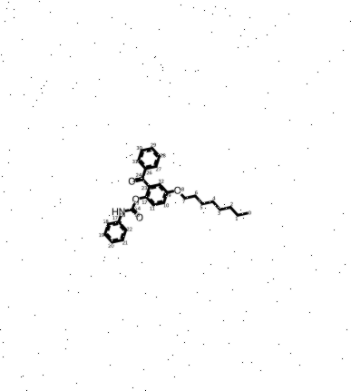 CCCCCCCCOc1ccc(OC(=O)Nc2ccccc2)c(C(=O)c2ccccc2)c1